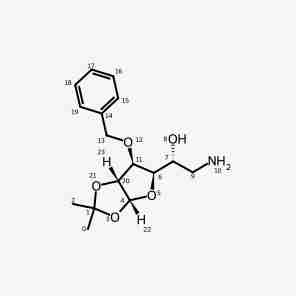 CC1(C)O[C@H]2O[C@H]([C@H](O)CN)[C@H](OCc3ccccc3)[C@H]2O1